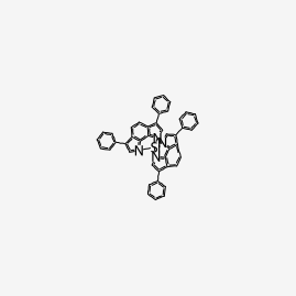 c1ccc(-c2cn3c4c2ccc2c(-c5ccccc5)cn(c24)[Si]32n3cc(-c4ccccc4)c4ccc5c(-c6ccccc6)cn2c5c43)cc1